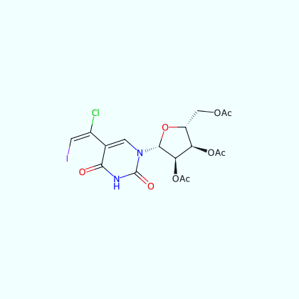 CC(=O)OC[C@H]1O[C@@H](n2cc(/C(Cl)=C\I)c(=O)[nH]c2=O)[C@H](OC(C)=O)[C@@H]1OC(C)=O